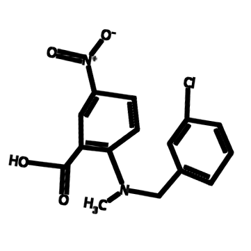 CN(Cc1cccc(Cl)c1)c1ccc([N+](=O)[O-])cc1C(=O)O